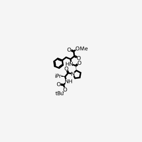 COC(=O)C(=O)C(Cc1ccccc1)NC(=O)[C@@H]1CCCN1C(=O)[C@@H](NC(=O)OC(C)(C)C)C(C)C